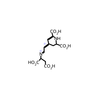 O=C(O)CC(/N=C/C=C1/C=C(C(=O)O)NC(C(=O)O)C1)C(=O)O